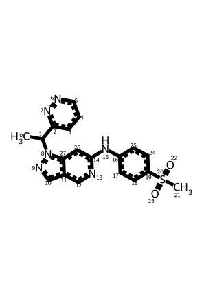 CC(c1cccnn1)n1ncc2cnc(Nc3ccc(S(C)(=O)=O)cc3)cc21